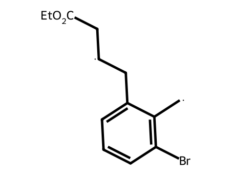 [CH2]c1c(Br)cccc1C[CH]CC(=O)OCC